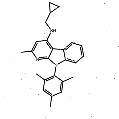 Cc1cc(C)c(-n2c3ccccc3c3c(NCC4CC4)cc(C)nc32)c(C)c1